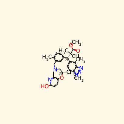 COC(=O)C(C)(C)[C@@H](c1ccc(C)c(CN2Cc3nc(O)ccc3O[C@@H](C)C2)c1)c1ccc2c(nnn2C)c1C